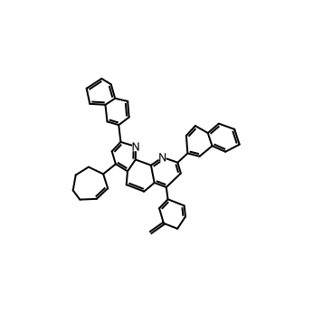 C=C1C=C(c2cc(-c3ccc4ccccc4c3)nc3c2ccc2c(C4C=CCCCC4)cc(-c4ccc5ccccc5c4)nc23)C=CC1